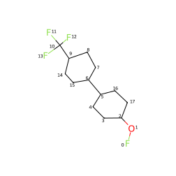 FOC1CCC(C2CCC(C(F)(F)F)CC2)CC1